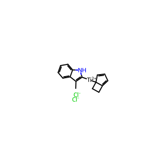 Cc1[c]([Ti+2][C]23C=CC=C2CC3)[nH]c2ccccc12.[Cl-].[Cl-]